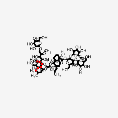 C=CC[C@@]1(C)CCC2[C@](C)(C(=O)OC3OC(CO)C(O)C(OC4OC(CO)C(O)C(O)C4O)C3OC3OC(CO)C(O)C(O)C3O)CCC[C@@]2(C)[C@@H]1OC(O)C(OC(CO)C(C)O)OC(CC(C)C)C(OC(O)C(O)C(O)C(COC1OC(CO)C(O)C(O)C1O)OC)C(O)C(CO)OC